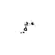 CCCCC(CC)OC(=O)Nc1ccc(-c2nn3nc(C(C)(C)C)c(N=Nc4[nH]nc(C(C)(C)C)c4C#N)c3[nH]2)cc1